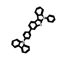 c1ccc(-n2c3ccccc3c3c4ccc(-c5ccc(-n6c7ccccc7c7ccccc76)cc5)cc4sc32)cc1